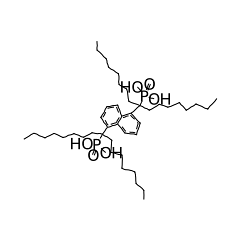 CCCCCCCCC(CCCCCCCC)(c1cccc2c(C(CCCCCCCC)(CCCCCCCC)P(=O)(O)O)cccc12)P(=O)(O)O